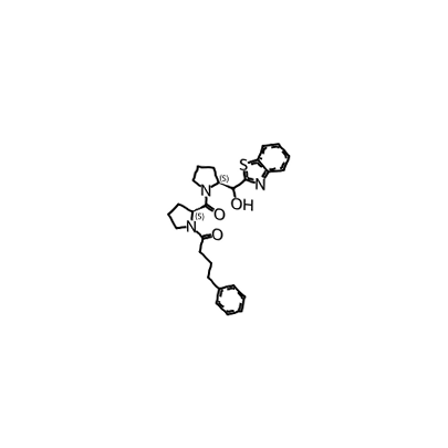 O=C(CCCc1ccccc1)N1CCC[C@H]1C(=O)N1CCC[C@H]1C(O)c1nc2ccccc2s1